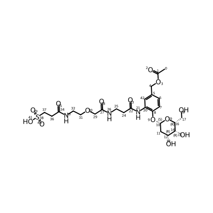 CC(=O)OCc1ccc(O[C@H]2C[C@@H](O)[C@@H](O)[C@@H](CO)O2)c(NC(=O)CCNC(=O)COCCNC(=O)CCS(=O)(=O)O)c1